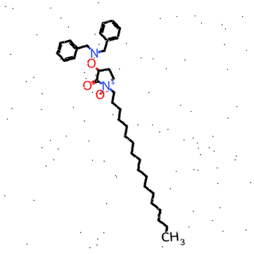 CCCCCCCCCCCCCCCCCC[N+]1([O-])CCC(ON(Cc2ccccc2)Cc2ccccc2)C1=O